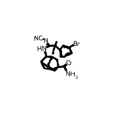 CC(C)(/C(=N/C#N)NC1C2CC3CC1CC(C(N)=O)(C3)C2)c1cccc(Br)c1